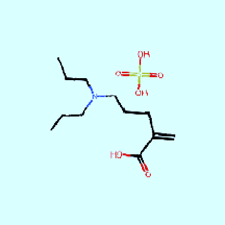 C=C(CCCN(CCC)CCC)C(=O)O.O=S(=O)(O)O